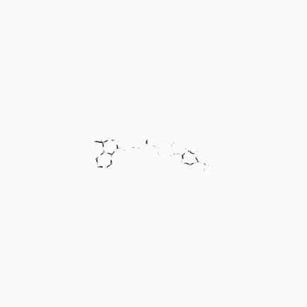 O=C(CCOc1n[nH]c(=O)c2ccccc12)N1CCN(c2ncc(C(F)(F)F)cn2)CC1